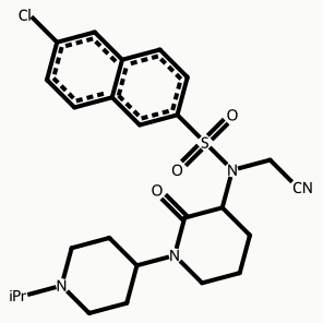 CC(C)N1CCC(N2CCCC(N(CC#N)S(=O)(=O)c3ccc4cc(Cl)ccc4c3)C2=O)CC1